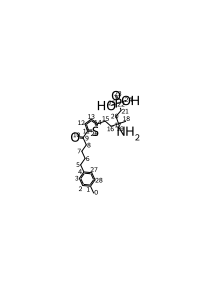 Cc1ccc(CCCCC(=O)c2ccc(CCC(C)(N)CCP(=O)(O)O)s2)cc1